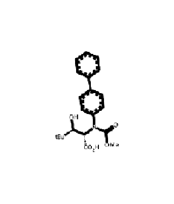 COC(=O)N(c1ccc(-c2ccccc2)cc1)[C@H](C(=O)O)[C@H](O)C(C)(C)C